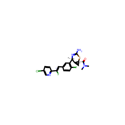 CN(C)C(=O)[C@]12C=C1[C@@](C)(c1cc(/C=C(\F)c3ccc(Cl)cn3)ccc1F)N=C(N)S2